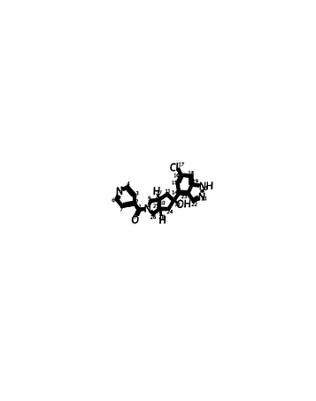 O=C(c1ccncc1)N1C[C@@H]2C[C@@](O)(c3cc(Cl)cc4[nH]ncc34)C[C@@H]2C1